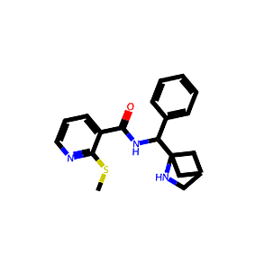 CSc1ncccc1C(=O)NC(c1ccccc1)C12CC(CN1)C2